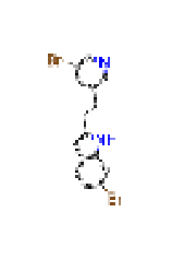 Brc1cncc(CCc2cc3ccc(Br)cc3[nH]2)c1